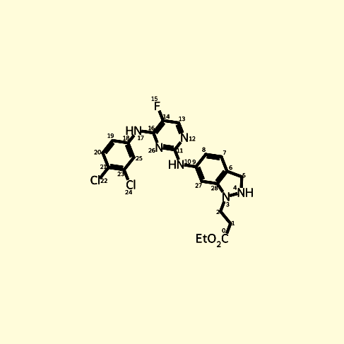 CCOC(=O)CCN1NCc2ccc(Nc3ncc(F)c(Nc4ccc(Cl)c(Cl)c4)n3)cc21